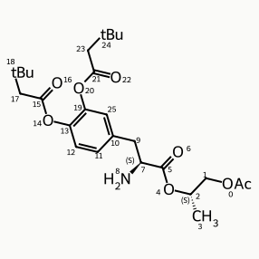 CC(=O)OC[C@H](C)OC(=O)[C@@H](N)Cc1ccc(OC(=O)CC(C)(C)C)c(OC(=O)CC(C)(C)C)c1